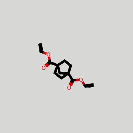 C=COC(=O)C12CCC(C(=O)OC=C)(CC1)C2